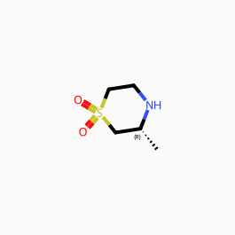 C[C@@H]1CS(=O)(=O)CCN1